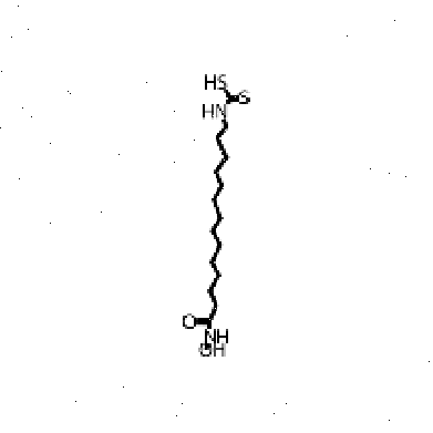 O=C(CCCCCCCCCCCCCNC(=S)S)NO